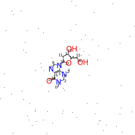 CN1CN(C)c2c(ncn2[C@H]2C[C@H](O)[C@@H](CO)O2)C1=O